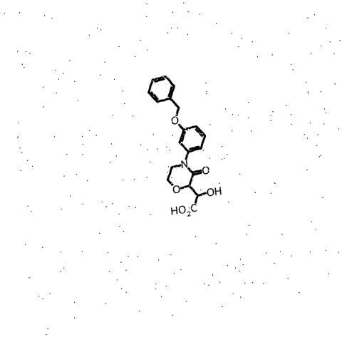 O=C(O)C(O)C1OCCN(c2cccc(OCc3ccccc3)c2)C1=O